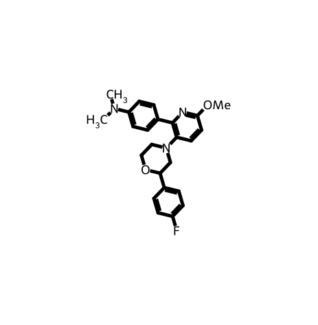 COc1ccc(N2CCOC(c3ccc(F)cc3)C2)c(-c2ccc(N(C)C)cc2)n1